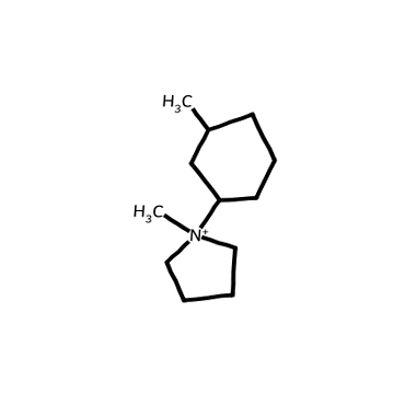 CC1CCCC([N+]2(C)CCCC2)C1